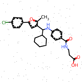 Cc1oc(-c2ccc(Cl)cc2)cc1C(Nc1ccc(C(=O)NCCC(=O)O)cc1)C1CCCCC1